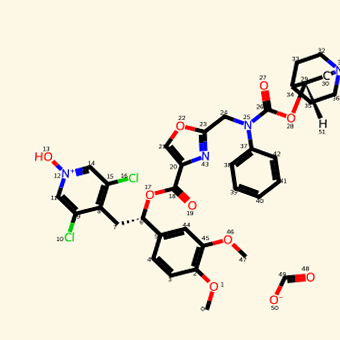 COc1ccc([C@H](Cc2c(Cl)c[n+](O)cc2Cl)OC(=O)c2coc(CN(C(=O)O[C@H]3CN4CCC3CC4)c3ccccc3)n2)cc1OC.O=C[O-]